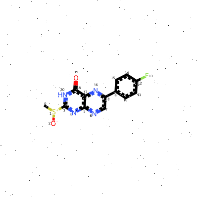 C[S+]([O-])c1nc2ncc(-c3ccc(F)cc3)nc2c(=O)[nH]1